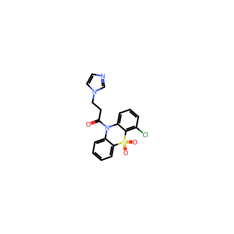 O=C(CCn1ccnc1)N1c2ccccc2S(=O)(=O)c2c(Cl)cccc21